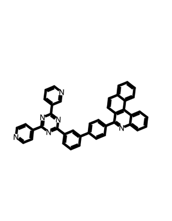 c1cncc(-c2nc(-c3ccncc3)nc(-c3cccc(-c4ccc(-c5nc6ccccc6c6c5ccc5ccccc56)cc4)c3)n2)c1